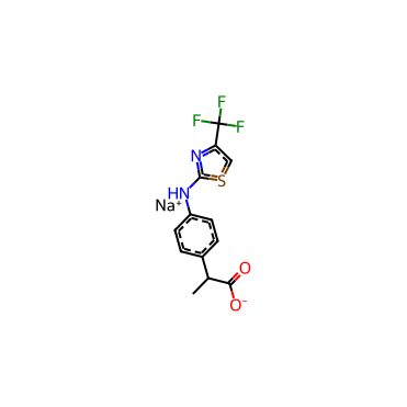 CC(C(=O)[O-])c1ccc(Nc2nc(C(F)(F)F)cs2)cc1.[Na+]